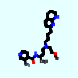 CCOCCN(CCCCc1ccc2c(n1)NCCC2)CC[C@H](NC(=O)c1ccncc1C(F)(F)F)C(=O)O